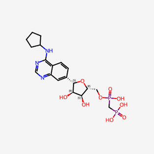 O=P(O)(O)CP(=O)(O)OC[C@H]1O[C@@H](c2ccc3c(NC4CCCC4)ncnc3c2)[C@H](O)[C@@H]1O